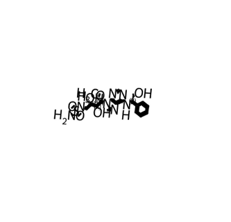 CO[C@H]([C@H](O)[C@H](O)CNS(N)(=O)=O)n1cnc2c(N[C@@H](CO)c3ccccc3)ncnc21